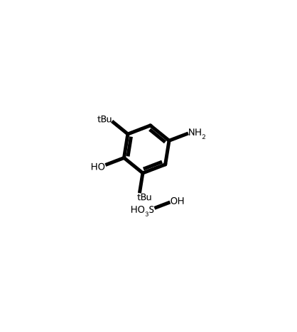 CC(C)(C)c1cc(N)cc(C(C)(C)C)c1O.O=S(=O)(O)O